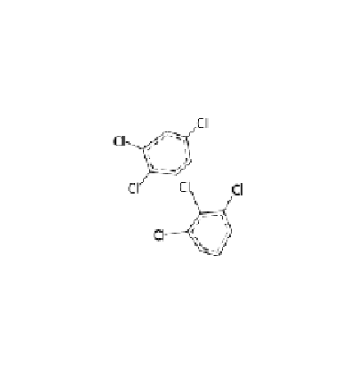 Clc1ccc(Cl)c(Cl)c1.Clc1cccc(Cl)c1Cl